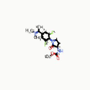 CC(c1cc(F)c(N2CCC(NC(=O)OC(C)(C)C)C2=O)c(F)c1)N(C)C